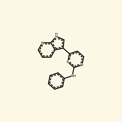 c1ccc(Nc2nccc(-c3c[nH]c4ncccc34)n2)cc1